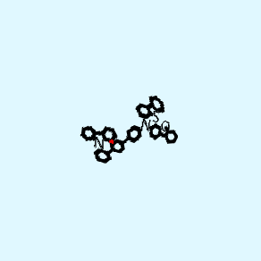 c1ccc(-n2c3ccccc3c3ccccc32)c(-c2ccc(-c3ccc(N(c4ccc5c(c4)oc4ccccc45)c4cccc5c4sc4ccccc45)cc3)cc2)c1